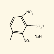 Cc1ccc([N+](=O)[O-])c(S(=O)(=O)O)c1[N+](=O)[O-].[NaH]